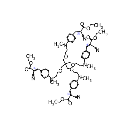 CCOC(=O)/C(C#N)=C/c1ccc(N(C)CCOCC(COCCN(C)c2ccc(/C=C(\C#N)C(=O)OCC)cc2)(COCCN(C)c2ccc(/C=C(\C#N)C(=O)OCC)cc2)COCCN(C)c2ccc(/C=C(\C#N)C(=O)OCC)cc2)cc1